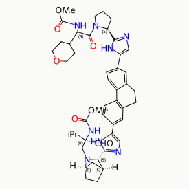 COC(=O)N[C@H](C(=O)N1CCC[C@H]1c1ncc(-c2ccc3c(c2)CCc2cc(-c4cnc([C@@H]5[C@H]6CC[C@H](C6)N5C[C@](C=O)(NC(=O)OC)C(C)C)[nH]4)ccc2-3)[nH]1)C1CCOCC1